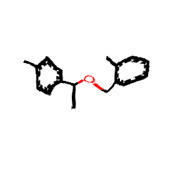 Cc1ccc(C(C)OCc2ccccc2C)cc1